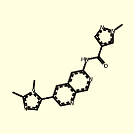 Cc1ncc(-c2cnc3cnc(NC(=O)c4cnn(C)c4)cc3c2)n1C